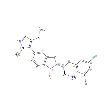 COCc1cnn(C)c1-c1ccc2c(c1)CN([C@H](CN)Cc1cc(F)cc(F)c1)C2=O